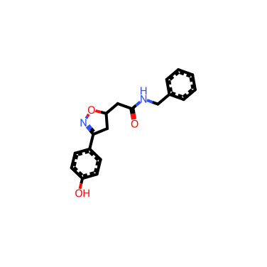 O=C(CC1CC(c2ccc(O)cc2)=NO1)NCc1ccccc1